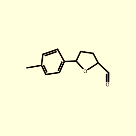 Cc1ccc(C2CCC(C=O)O2)cc1